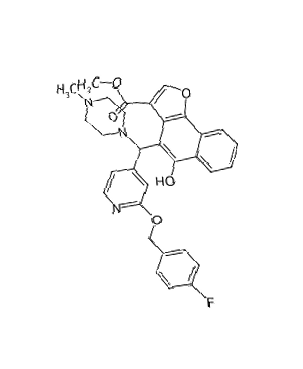 COC(=O)c1coc2c1c(C(c1ccnc(OCc3ccc(F)cc3)c1)N1CCN(C)CC1)c(O)c1ccccc12